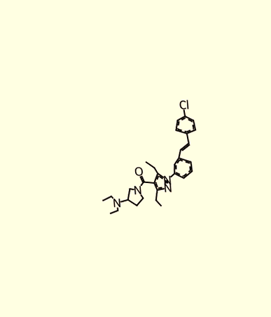 CCc1nn(-c2cccc(/C=C/c3ccc(Cl)cc3)c2)c(CC)c1C(=O)N1CCC(N(CC)CC)C1